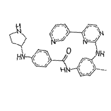 Cc1ccc(NC(=O)c2ccc(NC3CCNC3)cc2)cc1Nc1nccc(-c2cccnc2)n1